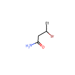 CCC(Br)CC(N)=O